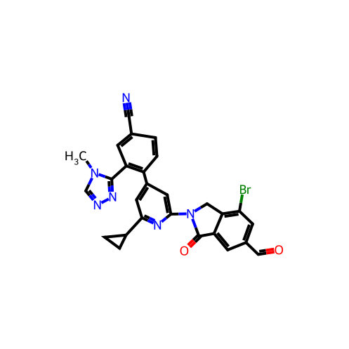 Cn1cnnc1-c1cc(C#N)ccc1-c1cc(C2CC2)nc(N2Cc3c(Br)cc(C=O)cc3C2=O)c1